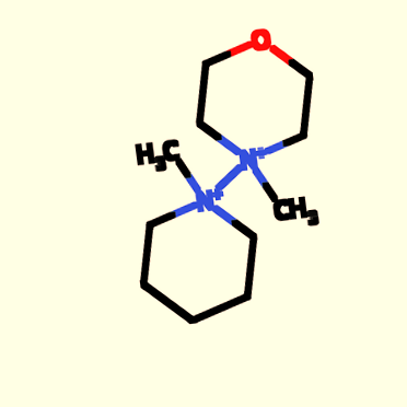 C[N+]1([N+]2(C)CCOCC2)CCCCC1